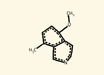 COc1ccc(C)c2cnccc12